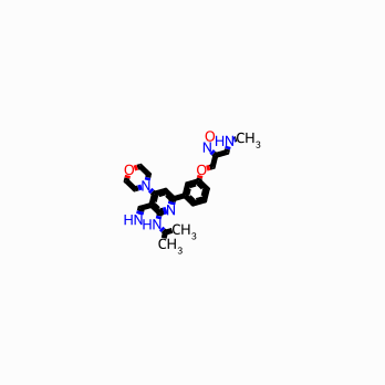 CNCC(COc1cccc(-c2cc(N3CCOCC3)c(C=N)c(NC(C)C)n2)c1)N=O